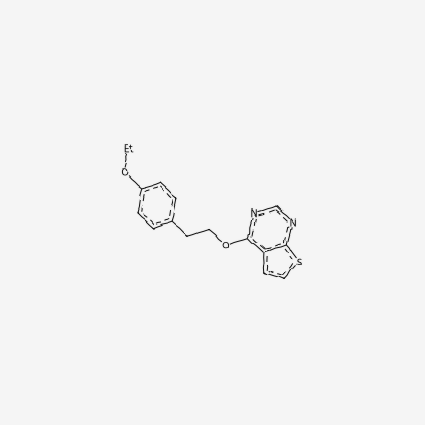 CCOc1ccc(CCOc2ncnc3sccc23)cc1